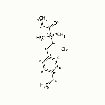 C=CC(=O)[N+](C)(C)CCc1ccc(C=C)cc1.[Cl-]